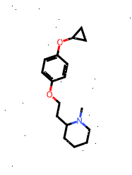 CN1CCCCC1CCOc1ccc(OC2CC2)cc1